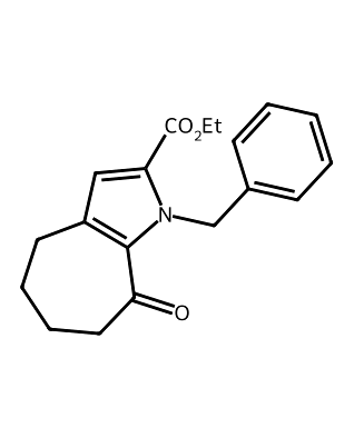 CCOC(=O)c1cc2c(n1Cc1ccccc1)C(=O)CCCC2